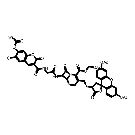 CCCC(=O)Oc1cc2oc(=O)c(C(=O)NCC(=O)NC3C(=O)N4C(C(=O)OCOC(C)=O)=C(CSC5CC6(OC5=O)c5ccc(OC(C)=O)cc5Oc5cc(OC(C)=O)ccc56)CSC34)cc2cc1Cl